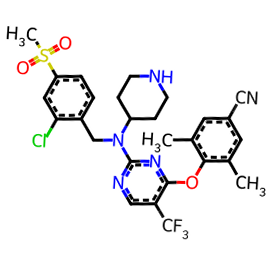 Cc1cc(C#N)cc(C)c1Oc1nc(N(Cc2ccc(S(C)(=O)=O)cc2Cl)C2CCNCC2)ncc1C(F)(F)F